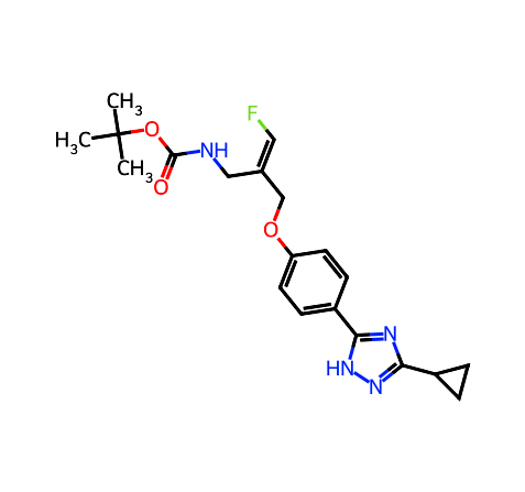 CC(C)(C)OC(=O)NC/C(=C\F)COc1ccc(-c2nc(C3CC3)n[nH]2)cc1